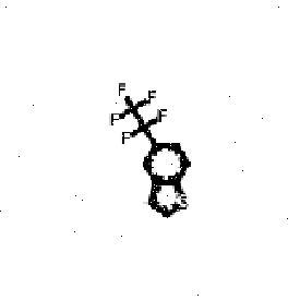 FC(F)(F)C(F)(F)c1ccc2sc[c]c2c1